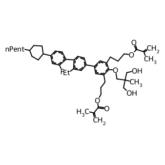 C=C(C)C(=O)OCCCc1cc(-c2ccc(-c3ccc(C4CCC(CCCCC)CC4)cc3F)c(CC)c2)cc(CCCOC(=O)C(=C)C)c1OCC(C)(CO)CO